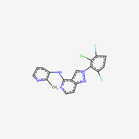 Cc1ncccc1Nc1nccc2nn(-c3c(F)ccc(F)c3Cl)cc12